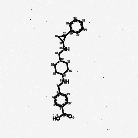 O=C(O)c1ccc(CNC2CCC(CNC3CC3c3ccccc3)CC2)cc1